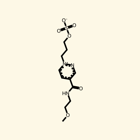 COCCNC(=O)c1cc[n+](CCCOS(=O)(=O)[O-])nc1